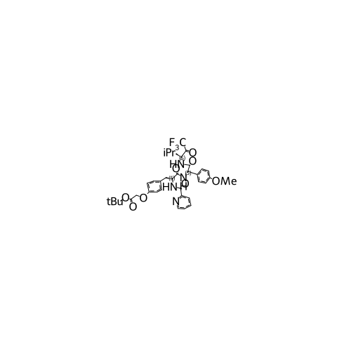 COc1ccc([C@H](NC(=O)[C@H](Cc2ccc(OCC(=O)OC(C)(C)C)cc2)NC(=O)c2ccccn2)C(=O)N[C@H](C(=O)C(F)(F)F)C(C)C)cc1